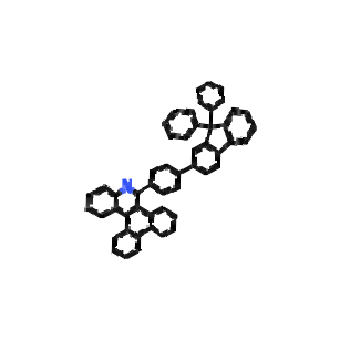 c1ccc(C2(c3ccccc3)c3ccccc3-c3ccc(-c4ccc(-c5nc6ccccc6c6c7ccccc7c7ccccc7c56)cc4)cc32)cc1